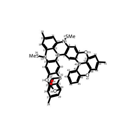 CSN1c2cc3c(cc2B2c4cc5c(cc4N(SC)c4cc(C)cc1c42)Oc1cc(C)cc2c1B5c1ccccc1O2)B1c2ccccc2Oc2cc(C)cc(c21)O3